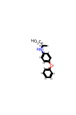 C[C@H](Nc1ccc(Oc2ccccc2)cc1)C(=O)O